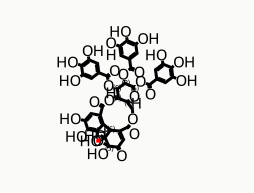 O=C1OC[C@H]2O[C@@H](OC(=O)c3cc(O)c(O)c(O)c3)[C@H](OC(=O)c3cc(O)c(O)c(O)c3)[C@@H](OC(=O)c3cc(O)c(O)c(O)c3)[C@@H]2OC(=O)c2cc(O)c(O)c3c2[C@H]2C1=CC(=O)[C@@](O)(O3)C2(O)O